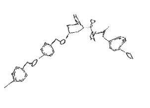 Cc1ccc(COc2ccc(CO[C@H]3CN[C@H](C(=O)NCc4ccc(Cl)cc4)C3)cc2)cc1